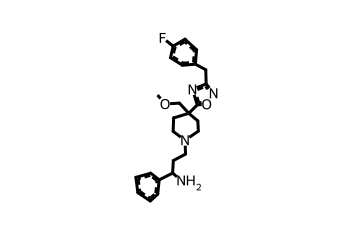 COCC1(c2nc(Cc3ccc(F)cc3)no2)CCN(CCC(N)c2ccccc2)CC1